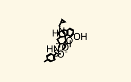 COC1[C@@H]2Oc3c(O)ccc4c3C23CCN(CC2CC2)[C@H](C4)C3C[C@@]1(C)CN[S+]([O-])c1ccc(C)cc1